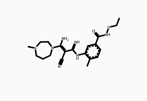 CCONC(=O)c1ccc(C)c(NC(=N)/C(C#N)=C(\N)N2CCCN(C)CC2)c1